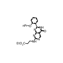 CCCOc1ccccc1-c1nc2nc(NCCC(=O)OCC)ncc2c(=O)[nH]1